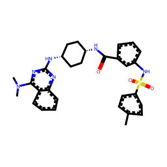 Cc1ccc(S(=O)(=O)Nc2cccc(C(=O)N[C@H]3CC[C@@H](Nc4nc(N(C)C)c5ccccc5n4)CC3)c2)cc1